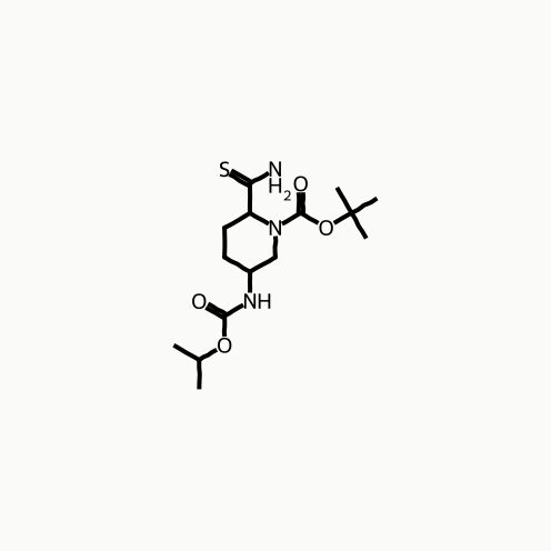 CC(C)OC(=O)NC1CCC(C(N)=S)N(C(=O)OC(C)(C)C)C1